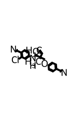 C=CC(C)(COc1ccc(C#N)cc1)C(=O)Nc1ccc(C#N)c(Cl)c1